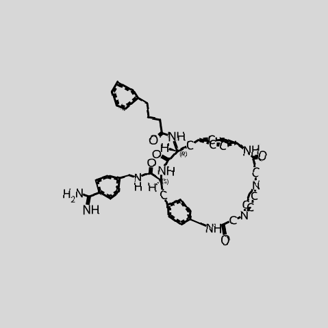 N=C(N)c1ccc(CNC(=O)[C@@H]2Cc3ccc(cc3)NC(=O)CN3CCN(CC3)CC(=O)Nc3ccc(cc3)C[C@@H](NC(=O)CCCc3ccccc3)C(=O)N2)cc1